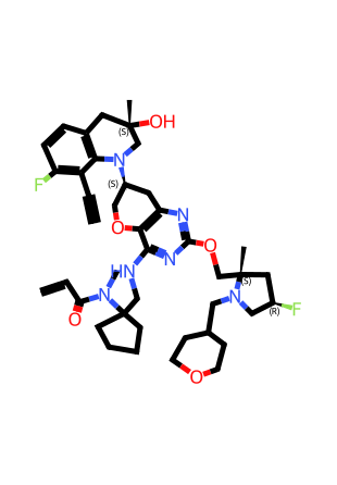 C#Cc1c(F)ccc2c1N([C@@H]1COc3c(nc(OC[C@]4(C)C[C@@H](F)CN4CC4CCOCC4)nc3NCC3(N(C)C(=O)C=C)CCCC3)C1)C[C@@](C)(O)C2